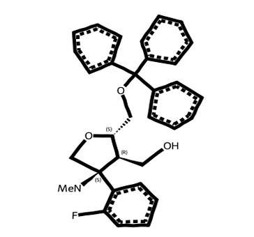 CN[C@@]1(c2ccccc2F)CO[C@H](COC(c2ccccc2)(c2ccccc2)c2ccccc2)[C@H]1CO